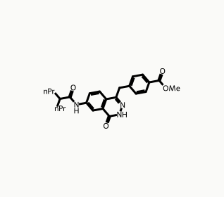 CCCC(CCC)C(=O)Nc1ccc2c(Cc3ccc(C(=O)OC)cc3)n[nH]c(=O)c2c1